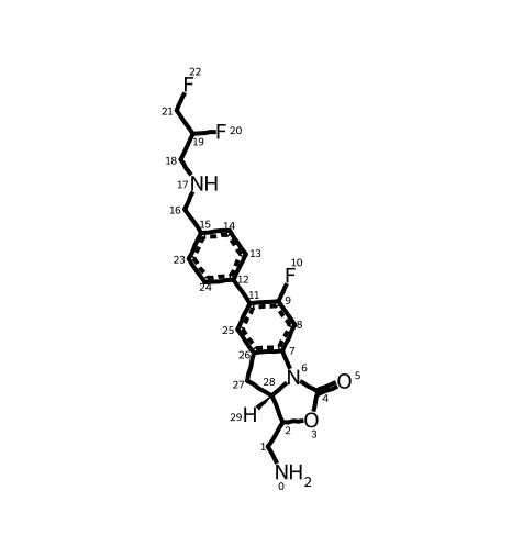 NCC1OC(=O)N2c3cc(F)c(-c4ccc(CNCC(F)CF)cc4)cc3C[C@@H]12